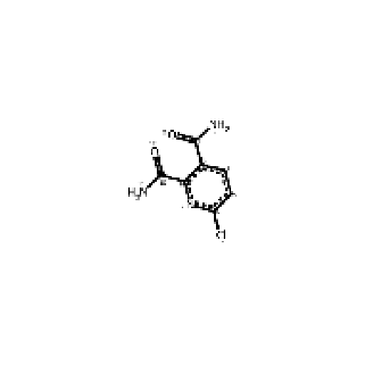 NC(=O)c1ccc(Cl)nc1C(N)=O